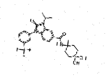 CC(C)n1c(=O)n(-c2cccc(C(F)(F)F)c2)c2ccc(C(=O)NC3(C)CCS(O)(O)CC3)cc21